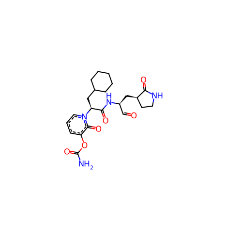 NC(=O)Oc1cccn([C@@H](CC2CCCCC2)C(=O)N[C@H](C=O)C[C@@H]2CCNC2=O)c1=O